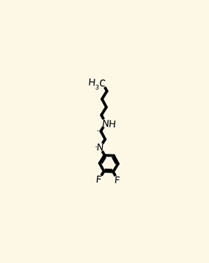 CCCCCN[CH]C[N]c1ccc(F)c(F)c1